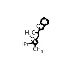 Cc1cc(CC(C)c2cc3ccccc3o2)oc1C(C)C